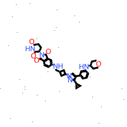 O=C1CCC(N2C(=O)c3ccc(NCC4CC(n5cc(-c6cccc(NC7CCOCC7)c6)c(C6CC6)n5)C4)cc3C2=O)C(=O)N1